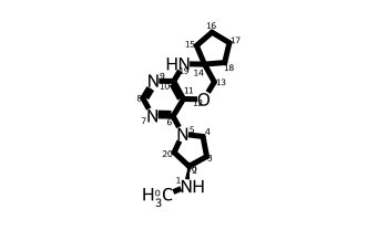 CN[C@@H]1CCN(c2ncnc3c2OCC2(CCCC2)N3)C1